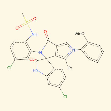 COc1ccccc1-n1cc2c(c1C(C)C)C1(C(=O)Nc3cc(Cl)ccc31)N(c1cc(Cl)ccc1NS(C)(=O)=O)C2=O